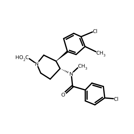 Cc1cc([C@@H]2CN(C(=O)O)CC[C@H]2N(C)C(=O)c2ccc(Cl)cc2)ccc1Cl